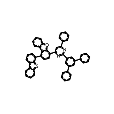 c1ccc(-c2cc(-c3ccccc3)cc(-c3nc(-c4ccccc4)cc(-c4ccc(-c5cccc6c5sc5ccccc56)c5c4oc4ccccc45)n3)c2)cc1